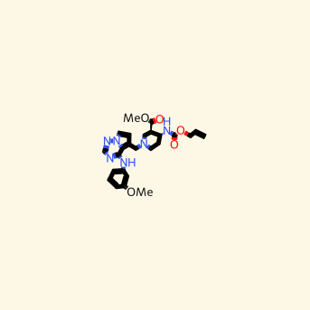 C=CCOC(=O)N[C@@H]1CCN(Cc2ccn3ncnc(Nc4cccc(OC)c4)c23)C[C@H]1C(=O)OC